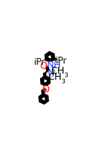 CC(C)c1cccc(C(C)C)c1NC(=O)[C@H](Cc1ccc(OCc2ccccc2)cc1)N(C)C